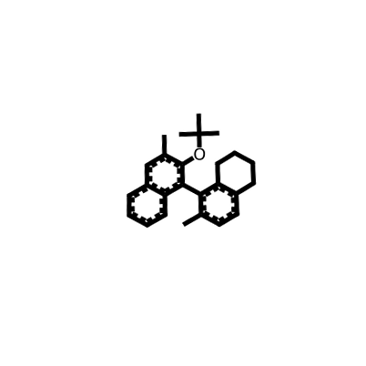 Cc1cc2ccccc2c(-c2c(C)ccc3c2CCCC3)c1OC(C)(C)C